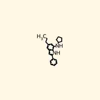 CCCc1cc(NC2CCCC2)c2[nH]c(-c3ccccc3)cc2c1